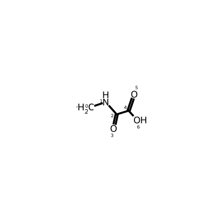 [CH2]NC(=O)C(=O)O